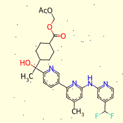 CC(=O)OCOC(=O)C1CCC(C(C)(O)c2ccc(-c3cc(C)cc(Nc4cc(C(F)F)ccn4)n3)cn2)CC1